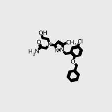 Cc1cc(N(CCO)CC(N)=O)nn1Cc1cc(Cl)ccc1OCc1ccccc1